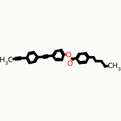 CC#Cc1ccc(C#Cc2ccc(OC(=O)c3ccc(CCCCC)cc3)cc2)cc1